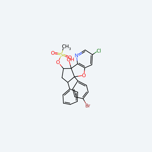 CS(=O)(=O)OC1CC(c2ccccc2)C2(c3ccc(Br)cc3)Oc3cc(Cl)cnc3C12O